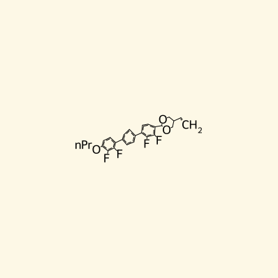 C=CC1COC(c2ccc(-c3ccc(-c4ccc(OCCC)c(F)c4F)cc3)c(F)c2F)OC1